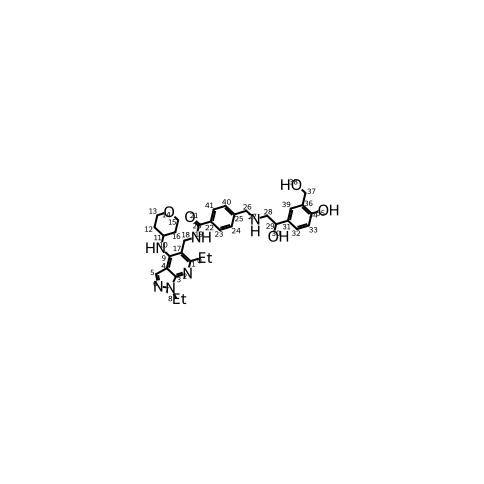 CCc1nc2c(cnn2CC)c(NC2CCOCC2)c1CNC(=O)c1ccc(CNCC(O)c2ccc(O)c(CO)c2)cc1